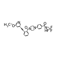 CCOc1cncc(C#Cc2ccccc2C(=O)N2CCN(c3ccc(C(=O)NCC(F)(F)F)cc3)CC2)c1